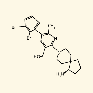 Cc1nc(N2CCC3(CCC[C@H]3N)CC2)c(CO)nc1-c1cccc(Br)c1Br